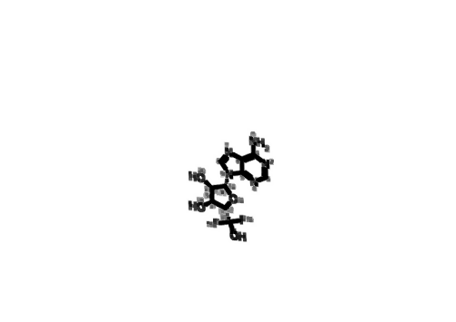 Nc1ncnc2c1ncn2[C@@H]1O[C@H](C(O)(F)F)[C@@H](O)[C@H]1O